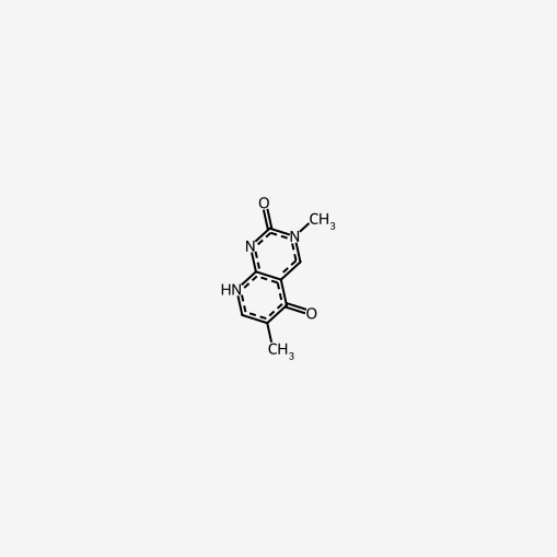 Cc1c[nH]c2nc(=O)n(C)cc2c1=O